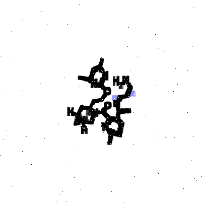 C=C(/N=C\C=C/N)c1ccc(C)nc1C(=O)N1C[C@@H]2C[C@@H]2C[C@H]1CCOc1nc(C)cc(C)n1